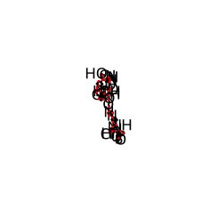 Cc1ccc(C(CC(=O)O)c2cc(OCC(=O)NCCOCCOCCN3CCN(c4ccc(Nc5ncc(Cl)c(Nc6ccccc6S(=O)(=O)C(C)C)n5)cc4)CC3)c3c(c2)nnn3C)cc1CN1CC(C)Oc2ccccc2S1(O)O